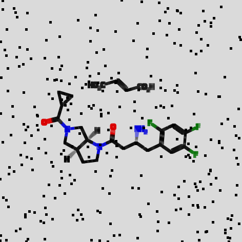 N[C@@H](CC(=O)N1CC[C@H]2CN(C(=O)C3CC3)C[C@H]21)Cc1cc(F)c(F)cc1F.O=C(O)C=CC(=O)O